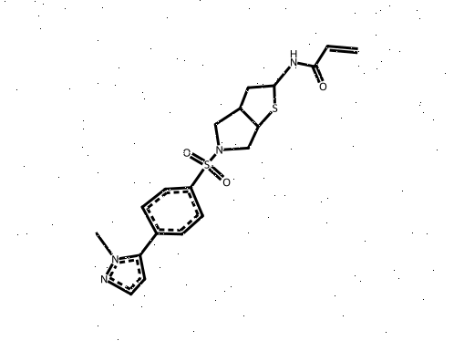 C=CC(=O)NC1CC2CN(S(=O)(=O)c3ccc(-c4ccnn4C)cc3)CC2S1